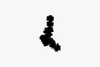 CC1(C)c2cc(-c3ccccc3)ccc2-c2ccc(N(c3ccc4c(c3)C(C)(C)c3cc(-c5ccc(-c6ccccc6)cc5)ccc3-4)c3ccccc3-c3ccccc3)cc21